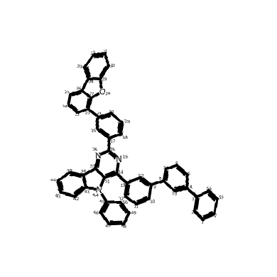 c1ccc(-c2cccc(-c3cccc(-c4nc(-c5cccc(-c6cccc7c6oc6ccccc67)c5)nc5c6ccccc6n(-c6ccccc6)c45)c3)c2)cc1